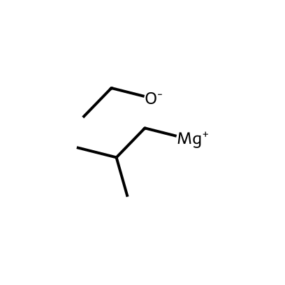 CC(C)[CH2][Mg+].CC[O-]